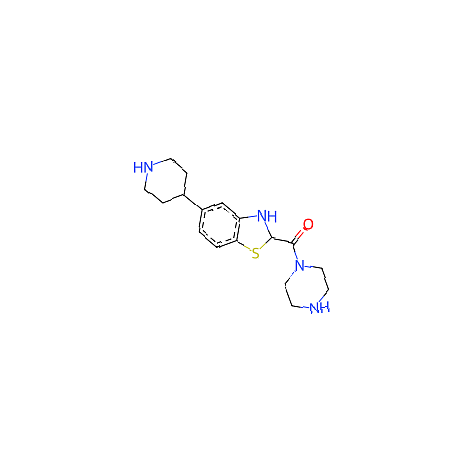 O=C(C1Nc2cc(C3CCNCC3)ccc2S1)N1CCNCC1